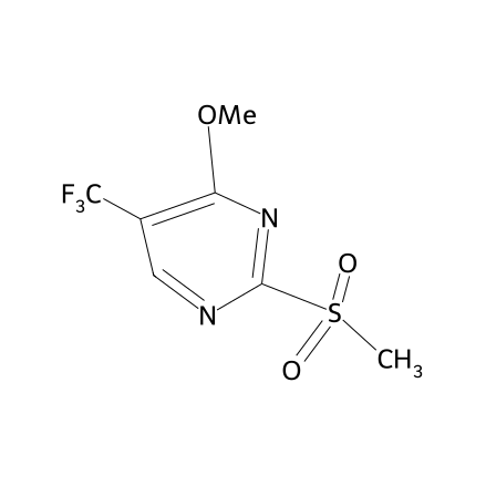 COc1nc(S(C)(=O)=O)ncc1C(F)(F)F